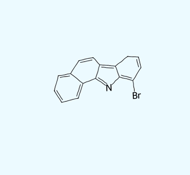 BrC1=C2N=c3c(ccc4ccccc34)=C2CC=C1